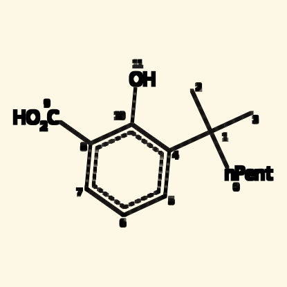 CCCCCC(C)(C)c1cccc(C(=O)O)c1O